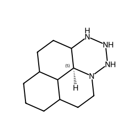 C1CC2CCC3NNNN4CCC(C1)C2[C@@H]34